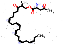 CC/C=C\C/C=C\C/C=C\C/C=C\C/C=C\CCCC(=O)C(C)COC(=O)[C@@H](N)CC(C)=O